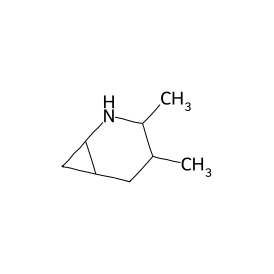 CC1CC2CC2NC1C